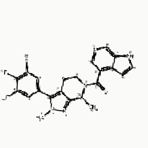 C[C@H]1c2nn(C)c(-c3cc(F)c(F)c(F)c3)c2CCN1C(=O)c1cncc2[nH]ccc12